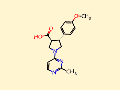 COc1ccc([C@@H]2CN(c3ccnc(C)n3)C[C@H]2C(=O)O)cc1